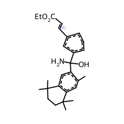 CCOC(=O)/C=C/c1cccc(C(N)(O)c2cc3c(cc2C)C(C)(C)CCC3(C)C)c1